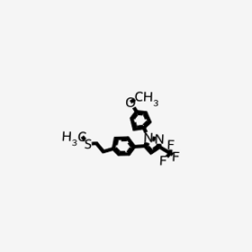 COc1ccc(-n2nc(C(F)(F)F)cc2-c2ccc(CCSC)cc2)cc1